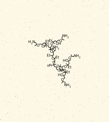 CCCC(C)(CC(CO)OC(C)(CN)C(COC(C)(CC)CC(O)COC(C)CN)COC(C)(CC)CC(O)COC(C)CN)OCC(CC)OC(CC)CC(CO)OC(C)(CN)C(COC(C)(CC)CC(O)COC(C)CN)COC(C)(CC)CC(O)COC(C)CN